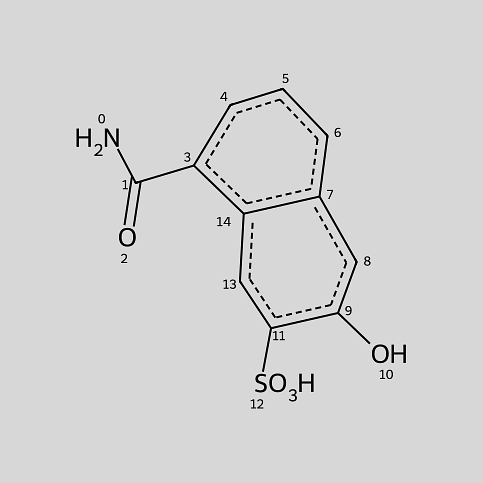 NC(=O)c1cccc2cc(O)c(S(=O)(=O)O)cc12